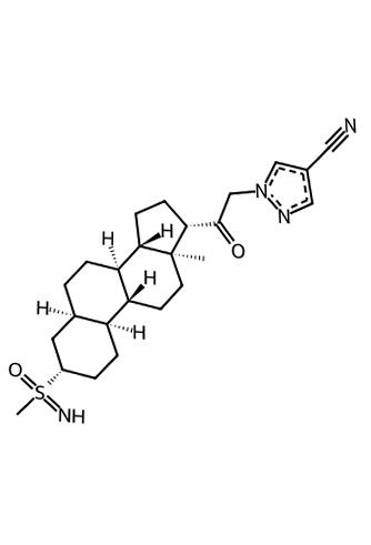 C[C@]12CC[C@H]3[C@@H](CC[C@@H]4C[C@@H](S(C)(=N)=O)CC[C@@H]43)[C@@H]1CC[C@@H]2C(=O)Cn1cc(C#N)cn1